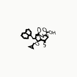 O=C(O)[C@H]1CC(=S)c2c(OCC3CC3)c(Cc3cccc4ccccc34)cc(=O)n21